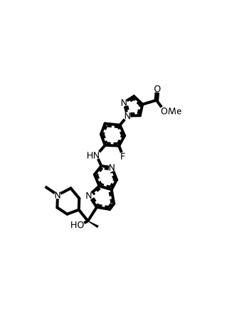 COC(=O)c1cnn(-c2ccc(Nc3cc4nc([C@](C)(O)C5CCN(C)CC5)ccc4cn3)c(F)c2)c1